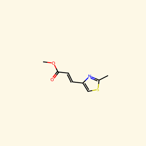 COC(=O)/C=C/c1csc(C)n1